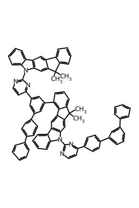 CC1(C)c2ccccc2-c2cc3c4ccccc4n(-c4nccc(-c5cc(-c6ccc(-c7ccccc7)cc6)cc(-c6cccc7c6-c6cc8c9ccccc9n(-c9nccc(-c%10ccc(-c%11cccc(-c%12ccccc%12)c%11)cc%10)n9)c8cc6C7(C)C)c5)n4)c3cc21